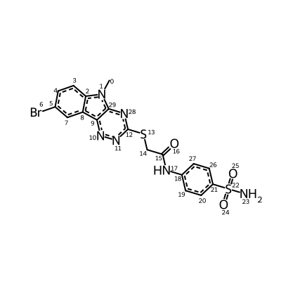 Cn1c2ccc(Br)cc2c2nnc(SCC(=O)Nc3ccc(S(N)(=O)=O)cc3)nc21